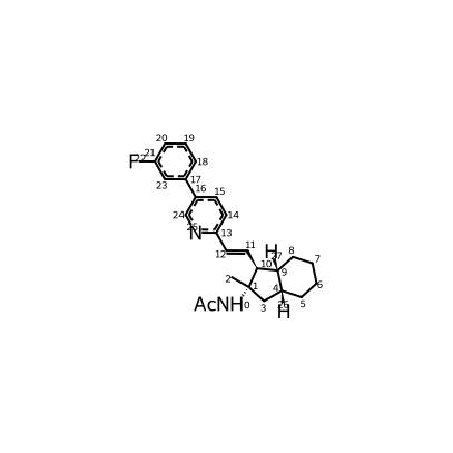 CC(=O)N[C@@]1(C)C[C@H]2CCCC[C@H]2[C@@H]1/C=C/c1ccc(-c2cccc(F)c2)cn1